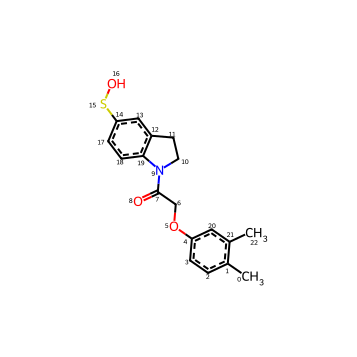 Cc1ccc(OCC(=O)N2CCc3cc(SO)ccc32)cc1C